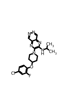 CC(C)Nc1nc2cnncc2nc1N1CCC(Oc2ccc(Cl)cc2F)CC1